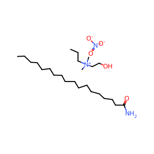 CCCCCCCCCCCCCCCCCC(N)=O.CCC[N+](C)(C)CCO.O=[N+]([O-])[O-]